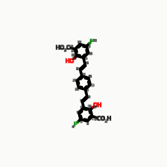 O=C(O)c1cc(F)cc(C=Cc2ccc(C=Cc3cc(F)cc(C(=O)O)c3O)cc2)c1O